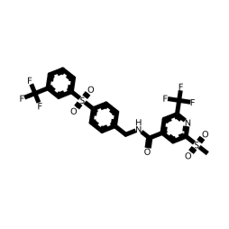 CS(=O)(=O)c1cc(C(=O)NCc2ccc(S(=O)(=O)c3cccc(C(F)(F)F)c3)cc2)cc(C(F)(F)F)n1